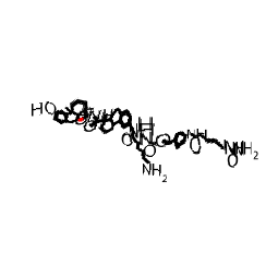 CC1(C(=O)NC(=O)[C@@]2(C)CCCC3(C)c4cc(O)ccc4CCC32)CCCC2c3cc(NC(=O)C(CCCCN)NC(=O)OCc4ccc(NC(=O)CCCCNC(N)=O)cc4)ccc3CCC21